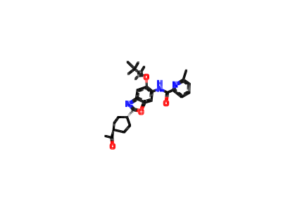 Cc1cccc(C(=O)Nc2cc3oc([C@H]4CC[C@H](C(C)=O)CC4)nc3cc2O[Si](C)(C)C(C)(C)C)n1